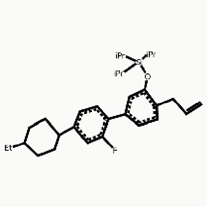 C=CCc1ccc(-c2ccc(C3CCC(CC)CC3)cc2F)cc1O[Si](C(C)C)(C(C)C)C(C)C